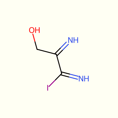 N=C(I)C(=N)CO